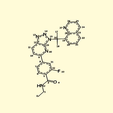 CCNC(=O)c1ccc(-c2ccc3nnn(C(C)(C)c4cccc5cccnc45)c3n2)cc1F